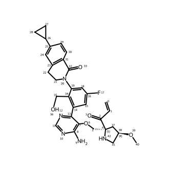 C=CC(=O)[C@@]1(COc2c(N)ncnc2-c2cc(F)cc(N3CCc4cc(C5CC5)ccc4C3=O)c2CO)C[C@@H](OC)CN1